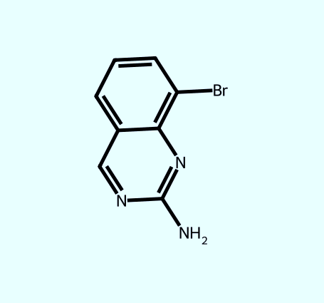 Nc1ncc2cccc(Br)c2n1